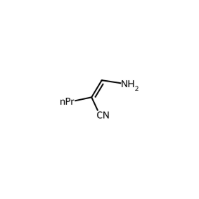 CCCC(C#N)=CN